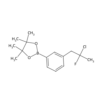 CC(F)(Cl)Cc1cccc(B2OC(C)(C)C(C)(C)O2)c1